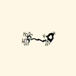 OCC1[C@@H](O)[C@H](O)[C@@H](O)CN1CCCCCCNc1c(F)cc(F)cc1F